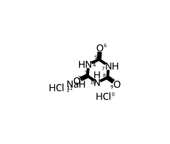 Cl.Cl.O=c1[nH]c(=O)[nH]c(=O)[nH]1.[NaH]